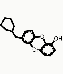 Oc1ccccc1Oc1ccc(CC2CCCCC2)cc1O